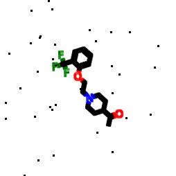 CC(=O)C1CCN(CCOc2ccccc2C(F)(F)F)CC1